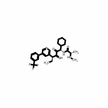 CC[C@H](C(=N)C(=O)[C@@H](NC(=O)[C@H](C)NC)C1CCCCC1)c1cncc(-c2cccc(C(F)(F)F)c2)c1